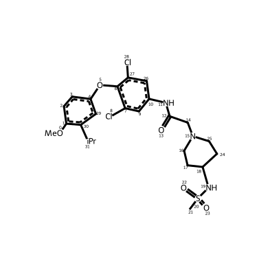 COc1ccc(Oc2c(Cl)cc(NC(=O)CN3CCC(NS(C)(=O)=O)CC3)cc2Cl)cc1C(C)C